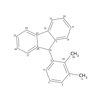 Cc1cccc(C2c3ccccc3-c3ccccc32)c1C